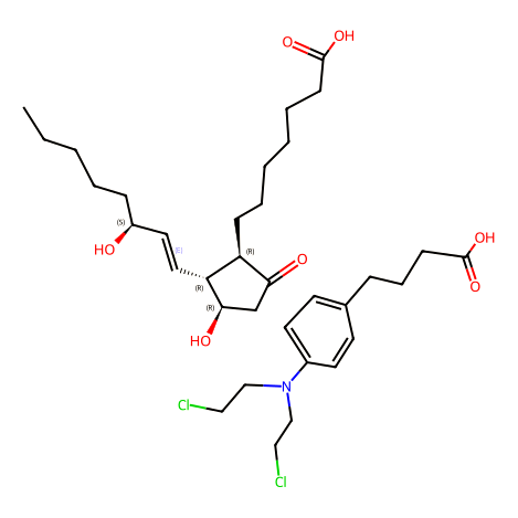 CCCCC[C@H](O)/C=C/[C@H]1[C@H](O)CC(=O)[C@@H]1CCCCCCC(=O)O.O=C(O)CCCc1ccc(N(CCCl)CCCl)cc1